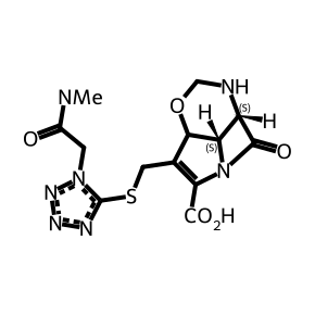 CNC(=O)Cn1nnnc1SCC1=C(C(=O)O)N2C(=O)[C@H]3NCOC1[C@H]32